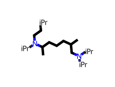 CC(C)CCN(C(C)C)C(C)CCCC(C)CN(C(C)C)C(C)C